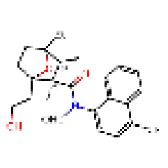 CCC12CCC(CCO)(O1)[C@](C)(C(=O)N(C=O)c1ccc(C#N)c3ccccc13)[C@@H]2C